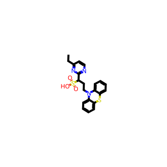 CCc1ccnc(C(CCN2c3ccccc3Sc3ccccc32)S(=O)(=O)O)n1